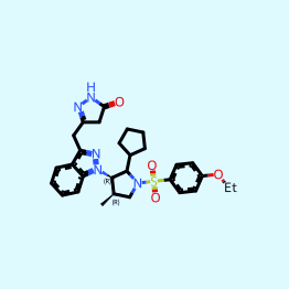 CCOc1ccc(S(=O)(=O)N2C[C@@H](C)[C@@H](n3nc(CC4=NNC(=O)C4)c4ccccc43)C2C2CCCC2)cc1